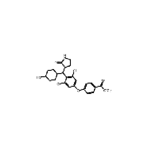 COC(=O)c1ccc(Oc2cc(Cl)c(C(C3CCC(O)CC3)C3CCNC3=O)c(Cl)c2)cc1